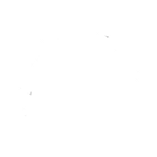 C[C@@]1(c2ccc3cc(O[C@H]4C[C@H](COCc5ccccc5)C4)ccc3c2)COC(=O)N1